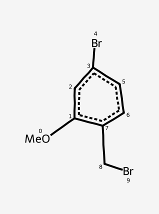 COc1cc(Br)ccc1CBr